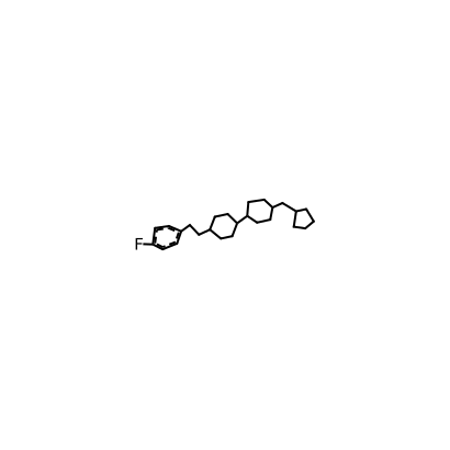 Fc1ccc(CCC2CCC(C3CCC(CC4CCCC4)CC3)CC2)cc1